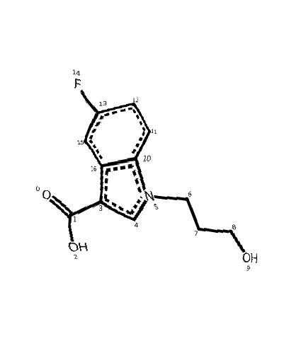 O=C(O)c1cn(CCCO)c2ccc(F)cc12